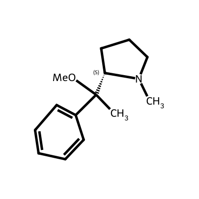 COC(C)(c1ccccc1)[C@@H]1CCCN1C